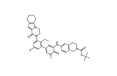 CCc1c(-c2cn(C)c(=O)c(Nc3ccc4c(c3)CCN(C(=O)OC(C)(C)C)C4)n2)cc(F)cc1N1CCn2c(cc3c2CCCC3)C1=O